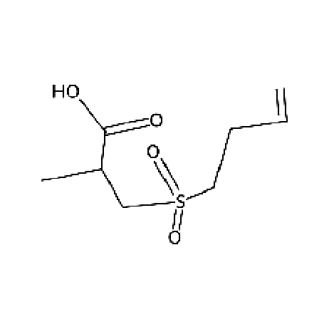 C=CCCS(=O)(=O)CC(C)C(=O)O